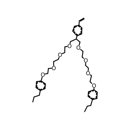 C=Cc1ccc(C(COCCOCCOCCOc2ccc(CCC)cc2)COCCOCCOCCOc2ccc(CCC)cc2)cc1